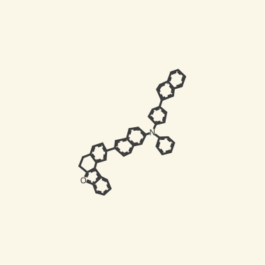 c1ccc(N(c2ccc(-c3ccc4ccccc4c3)cc2)c2ccc3cc(-c4ccc5c(c4)-c4c(oc6ccccc46)CC5)ccc3c2)cc1